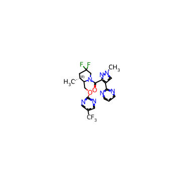 C[C@@H]1CC(F)(F)CN(C(=O)c2nn(C)cc2-c2ncccn2)C1COc1ncc(C(F)(F)F)cn1